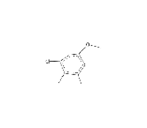 COc1cc(C)c(C)c(Cl)c1